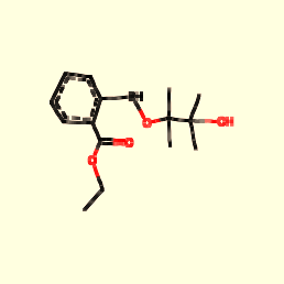 CCOC(=O)c1ccccc1BOC(C)(C)C(C)(C)O